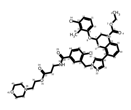 CCOC(=O)N1CC(Oc2cccc(Cl)c2C)Sc2c(-c3cnn(Cc4cc(C(=O)NCCC(=O)OCCN5CCOCC5)ccc4Cl)c3)cccc21